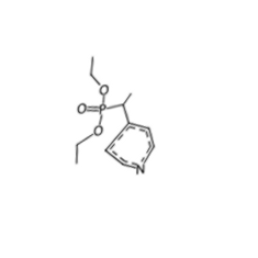 CCOP(=O)(OCC)C(C)c1ccncc1